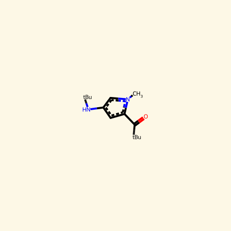 Cn1cc(NC(C)(C)C)cc1C(=O)C(C)(C)C